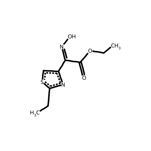 CCOC(=O)/C(=N\O)c1csc(CC)n1